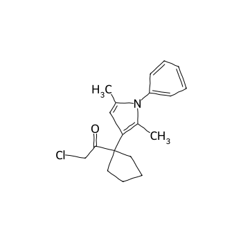 Cc1cc(C2(C(=O)CCl)CCCC2)c(C)n1-c1ccccc1